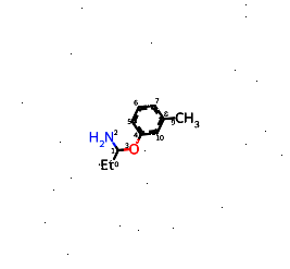 C[CH]C(N)Oc1cccc(C)c1